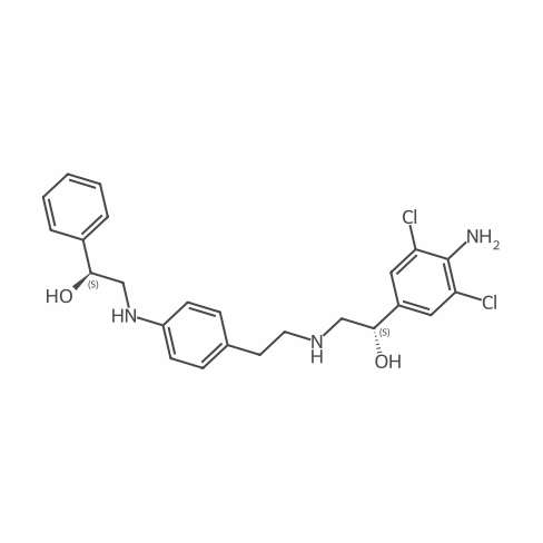 Nc1c(Cl)cc([C@H](O)CNCCc2ccc(NC[C@@H](O)c3ccccc3)cc2)cc1Cl